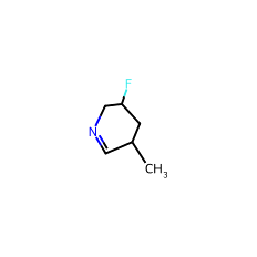 CC1C=NCC(F)C1